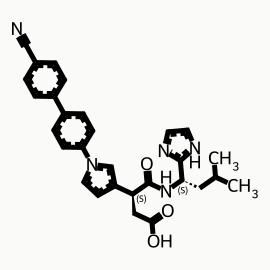 CC(C)C[C@H](NC(=O)[C@@H](CC(=O)O)c1ccn(-c2ccc(-c3ccc(C#N)cc3)cc2)c1)c1ncc[nH]1